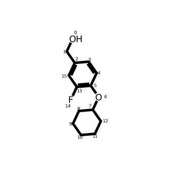 OCc1ccc(OC2CCCCC2)c(F)c1